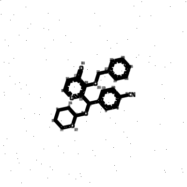 N#Cc1ccc(C(OC2CCCCO2)c2occc(=O)c2OCc2ccccc2)cc1